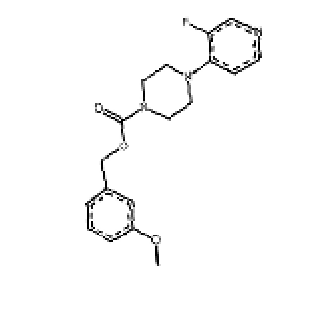 COc1cccc(COC(=O)N2CCN(c3ccncc3F)CC2)c1